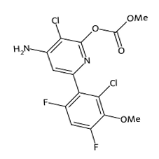 COC(=O)Oc1nc(-c2c(F)cc(F)c(OC)c2Cl)cc(N)c1Cl